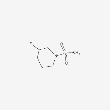 CS(=O)(=O)N1CCCC(F)C1